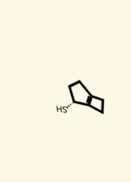 S[C@@H]1CCC2=C1CC2